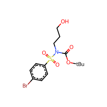 CC(C)(C)OC(=O)N(CCCO)S(=O)(=O)c1ccc(Br)cc1